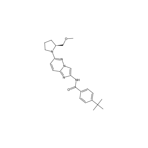 COC[C@@H]1CCCN1c1ccc2nc(NC(=O)c3ccc(C(C)(C)C)cc3)cn2n1